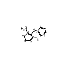 NC1=C(Oc2ccccc2)C(Cl)=C[CH]C1